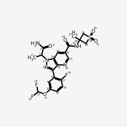 CC(C(N)=O)n1nc(-c2cc(OC(F)F)ccc2F)c2ncc(C(=O)NC3(C)CS(=O)(=O)C3)cc21